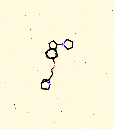 c1cc2c(cc1OCCC1CC3CCN1C3)C(N1CCCC1)CC2